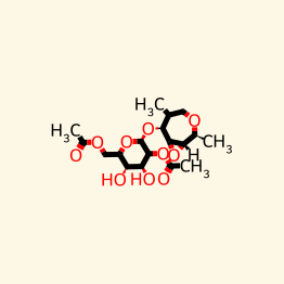 CC(=O)OCC1O[C@@H](O[C@@H]2C(C)CO[C@H](C)[C@@H]3OC23)C(OC(C)=O)[C@@H](O)[C@@H]1O